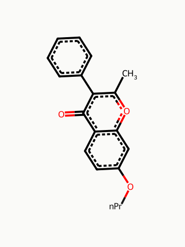 CCCOc1ccc2c(=O)c(-c3ccccc3)c(C)oc2c1